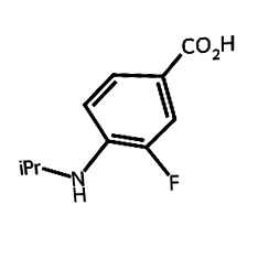 CC(C)Nc1ccc(C(=O)O)cc1F